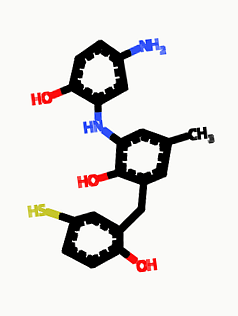 Cc1cc(Cc2cc(S)ccc2O)c(O)c(Nc2cc(N)ccc2O)c1